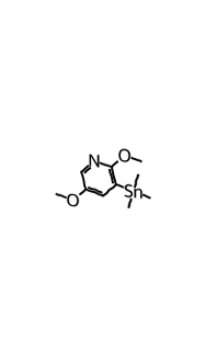 COc1cnc(OC)[c]([Sn]([CH3])([CH3])[CH3])c1